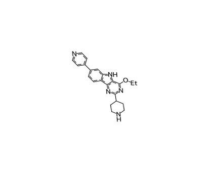 CCOc1nc(C2CCNCC2)nc2c1[nH]c1cc(-c3ccncc3)ccc12